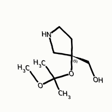 COC(C)(C)O[C@@]1(CO)CCNC1